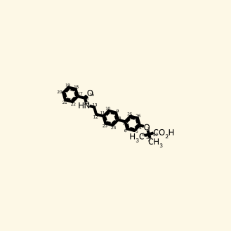 CC(C)(Oc1ccc(-c2ccc(CCNC(=O)c3ccccc3)cc2)cc1)C(=O)O